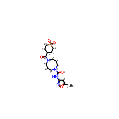 CC(C)(C)c1cc(NC(=O)N2CCCN(C(=O)C3CCS(=O)(=O)CC3)CCC2)no1